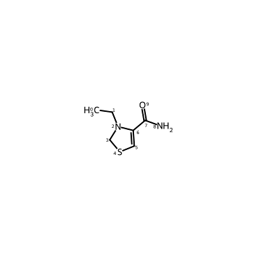 CCN1CSC=C1C(N)=O